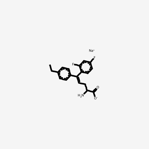 CCc1ccc(C(=CCC(N)C(=O)[O-])c2ccc(F)cc2F)cc1.[Na+]